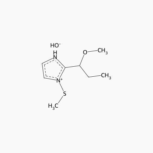 CCC(OC)c1[nH]cc[n+]1SC.[OH-]